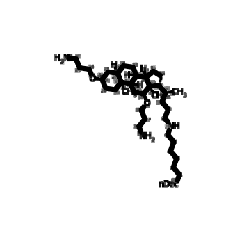 CCCCCCCCCCCCCCCCNCCC[C@@H](C)[C@H]1CC[C@H]2[C@@H]3CC[C@@H]4C[C@H](OCCCN)CC[C@]4(C)[C@H]3C[C@H](OCCCN)[C@]12C